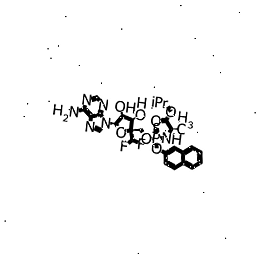 CC(C)OC(=O)[C@H](C)NP(=S)(OC[C@@]1(C(F)F)O[C@@H](n2cnc3c(N)ncnc32)[C@@H](O)[C@@H]1O)Oc1ccc2ccccc2c1